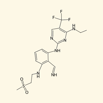 CCNc1nc(Nc2cccc(NCCS(C)(=O)=O)c2C=N)ncc1C(F)(F)F